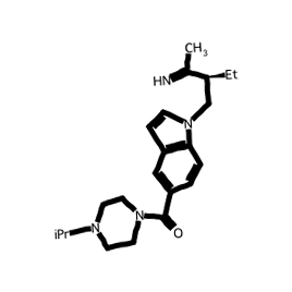 CC[C@@H](Cn1ccc2cc(C(=O)N3CCN(C(C)C)CC3)ccc21)C(C)=N